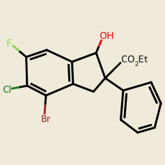 CCOC(=O)C1(c2ccccc2)Cc2c(cc(F)c(Cl)c2Br)C1O